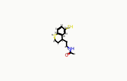 CC(=O)NCCC1CCSc2ccc(S)cc21